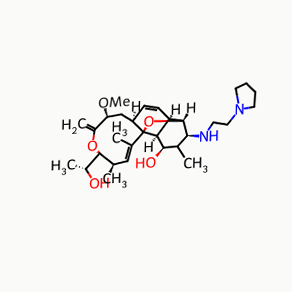 C=C1O[C@H]([C@@H](C)O)[C@H](C)/C=C(\C)[C@]23O[C@@H]4[C@H](C=C[C@@H]2C[C@@H]1OC)[C@H]3[C@H](O)C(C)[C@@H]4NCCN1CCCC1